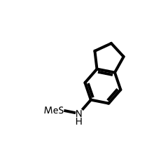 CSNc1ccc2c(c1)CCC2